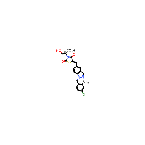 O=C(O)[C@@H](CO)N1C(=O)S/C(=C\c2ccc3c(cnn3Cc3ccc(Cl)cc3C(F)(F)F)c2)C1=O